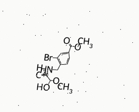 COC(=O)c1ccc(CN[C@H](C)C(O)OC)c(Br)c1